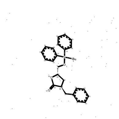 CC(C)(C)[Si](OC[C@@H]1C[C@@H](Cc2ccccc2)C(=O)O1)(c1ccccc1)c1ccccc1